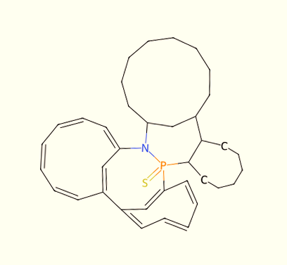 S=P12C3=C\C(=C/C=C/C=C\3)c3cccccccc(c3)N1C1CCCCCCCCC(C1)C1CCCCCCC12